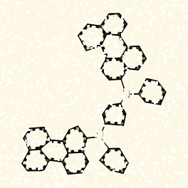 c1ccc(N(c2ccc(N(c3ccccc3)c3ccc4c5cccc6cccc(c7cccc3c74)c65)cc2)c2ccc3c4cccc5cccc(c6cccc2c63)c54)cc1